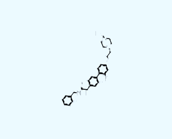 CN1CCN(CCOc2ccc(-c3ccc(CC(=O)NCc4ccccc4)cc3)c(F)c2)CC1